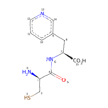 N[C@H](CS)C(=O)N[C@@H](Cc1cccnc1)C(=O)O